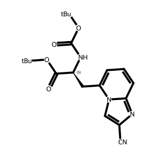 CC(C)(C)OC(=O)N[C@@H](Cc1cccc2nc(C#N)cn12)C(=O)OC(C)(C)C